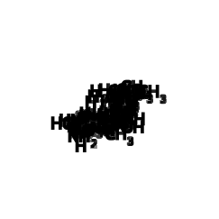 CN(C)CCCN(CCC[N+](C)(C)C)c1ccc(Nc2cc(Nc3ccc(NCCC[N+](C)(C)C)cc3)c(NC[N+](C)(C)CCCNc3ccc(Nc4cc(Nc5ccc(NCCC[N+](C)(C)C)cc5)c(O)cc4N)cc3)cc2O)cc1